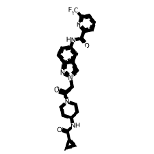 O=C(Nc1ccc2nn(CC(=O)N3CCC(NC(=O)C4CC4)CC3)cc2c1)c1cccc(C(F)(F)F)n1